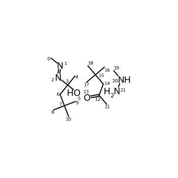 C/N=N/C(C)(O)CC(C)(C)C.CC(=O)CC(C)(C)C.CNN